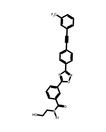 CCN(CCO)C(=O)c1cccc(-c2nc(-c3ccc(C#Cc4cccc(C(F)(F)F)c4)cc3)no2)c1